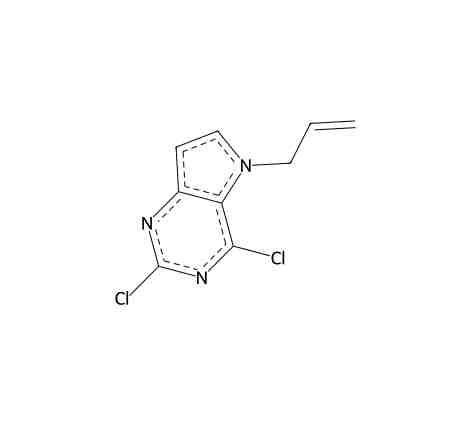 C=CCn1ccc2nc(Cl)nc(Cl)c21